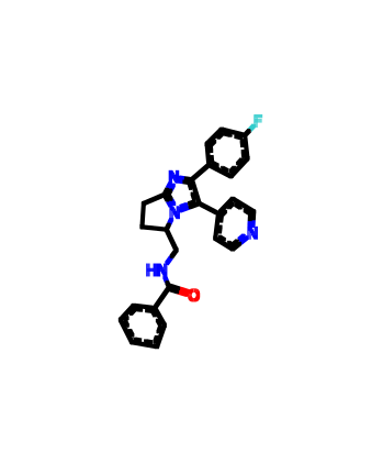 O=C(NCC1CCc2nc(-c3ccc(F)cc3)c(-c3ccncc3)n21)c1ccccc1